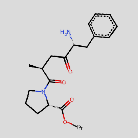 CC(C)OC(=O)[C@@H]1CCCN1C(=O)[C@@H](C)CC(=O)[C@H](N)Cc1ccccc1